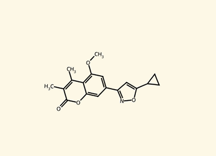 COc1cc(-c2cc(C3CC3)on2)cc2oc(=O)c(C)c(C)c12